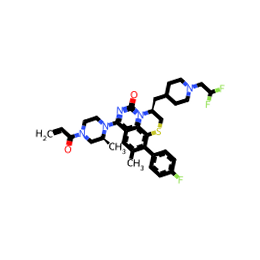 C=CC(=O)N1CCN(c2nc(=O)n3c4c(c(-c5ccc(F)cc5)c(C)cc24)SC[C@@H]3CC2CCN(CC(F)F)CC2)[C@@H](C)C1